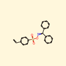 C=Cc1ccc(S(=O)(=O)ON=C(c2ccccc2)c2ccccc2)cc1